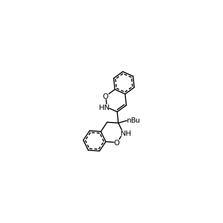 CCCCC1(C2=Cc3ccccc3ON2)Cc2ccccc2ON1